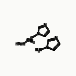 CCCCCC.Cn1ccnc1.Cn1ccnc1